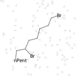 CCCCCCC(Br)CCCCCBr